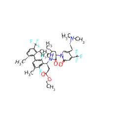 CCOC(=O)C[C@H](NC(=O)C(CC(C)C)n1cc(CCN(C)C)c(C(F)(F)F)cc1=O)c1c(F)c(C)cc(-c2c(C)ccc(C(F)(F)F)c2C)c1F